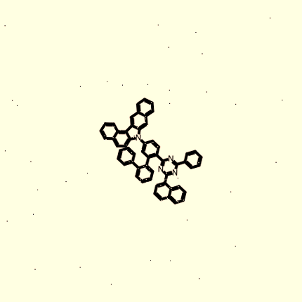 c1ccc(-c2nc(-c3ccc(-n4c5cc6ccccc6cc5c5c6ccccc6ccc54)cc3-c3ccccc3-c3ccccc3)nc(-c3cccc4ccccc34)n2)cc1